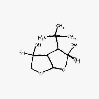 [2H]C1(O)COC2OC([2H])([2H])C(C(C)(C)C)C21